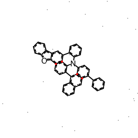 c1ccc(-c2ccc(N(c3ccccc3-c3ccc4oc5ccccc5c4c3)c3ccccc3-c3cccc4ccccc34)cc2)cc1